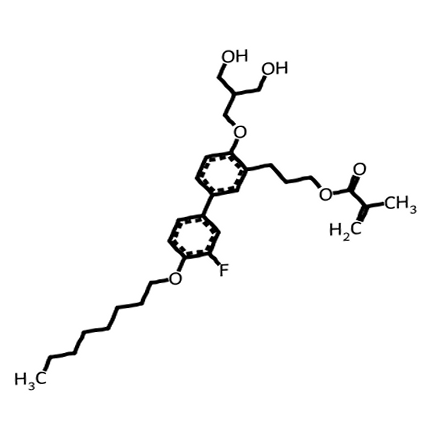 C=C(C)C(=O)OCCCc1cc(-c2ccc(OCCCCCCCC)c(F)c2)ccc1OCC(CO)CO